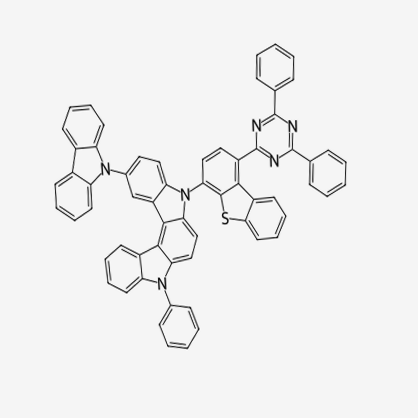 c1ccc(-c2nc(-c3ccccc3)nc(-c3ccc(-n4c5ccc(-n6c7ccccc7c7ccccc76)cc5c5c6c7ccccc7n(-c7ccccc7)c6ccc54)c4sc5ccccc5c34)n2)cc1